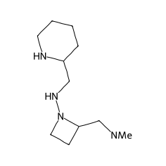 CNCC1CCN1NCC1CCCCN1